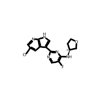 Fc1cnc(-c2c[nH]c3ncc(Cl)cc23)nc1N[C@H]1CCOC1